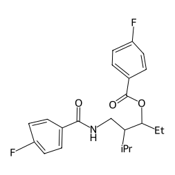 CCC(OC(=O)c1ccc(F)cc1)C(CNC(=O)c1ccc(F)cc1)C(C)C